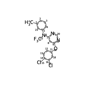 Cc1cccc(N(c2cc(Oc3ccc(Cl)c(Cl)c3)ncn2)C(F)(F)F)c1